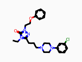 CCn1c(CCCN2CCN(c3cccc(Cl)c3)CC2)nn(CCOc2ccccc2)c1=O